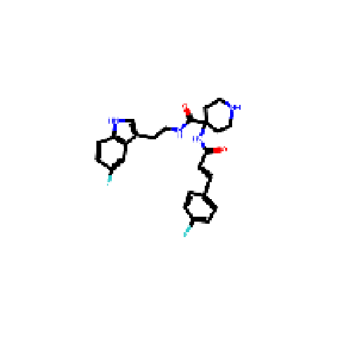 O=C(C=Cc1ccc(F)cc1)NC1(C(=O)NCCc2c[nH]c3ccc(F)cc23)CCNCC1